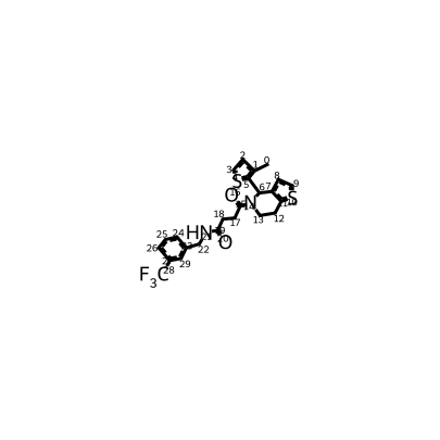 Cc1ccsc1C1c2ccsc2CCN1C(=O)CCC(=O)NCc1cccc(C(F)(F)F)c1